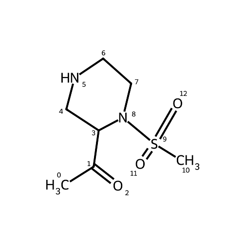 CC(=O)C1CNCCN1S(C)(=O)=O